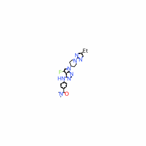 CCc1cnc(N2CCC(n3cc(F)c4c(Nc5ccc(C(=O)N(C)C)cc5)ncnc43)CC2)nc1